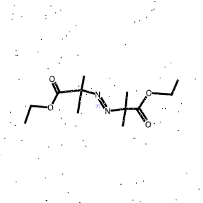 CCOC(=O)C(C)(C)/N=N/C(C)(C)C(=O)OCC